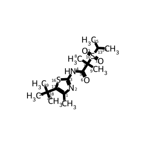 Cc1nc(NC(=O)C(C)(C)S(=O)(=O)C(C)C)sc1C(C)(C)C